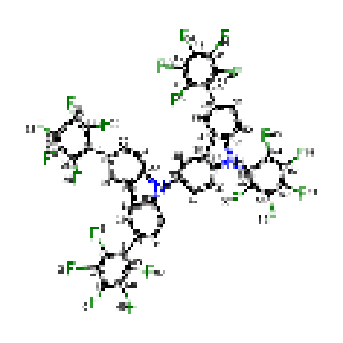 Fc1c(F)c(F)c(-c2ccc3c(c2)c2cc(-c4c(F)c(F)c(F)c(F)c4F)ccc2n3-c2ccc3c(c2)c2cc(-c4c(F)c(F)c(F)c(F)c4F)ccc2n3-c2c(F)c(F)c(F)c(F)c2F)c(F)c1F